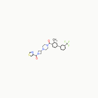 Cc1cc(-c2cccc(C(F)(F)F)c2)ccc1C(=O)N1CCN(C2CN(C(=O)c3cscn3)C2)CC1